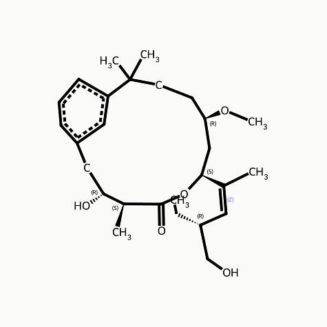 CC[C@H](/C=C(/C)[C@@H]1C[C@H](OC)CCC(C)(C)c2cccc(c2)C[C@@H](O)[C@H](C)C(=O)O1)CO